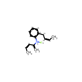 C=C(/C=C\C)N(F)c1ccccc1C/C=C\C